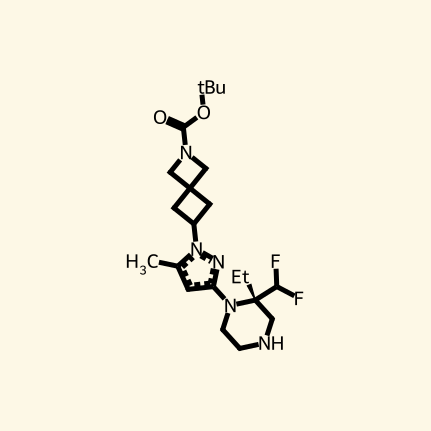 CC[C@@]1(C(F)F)CNCCN1c1cc(C)n(C2CC3(C2)CN(C(=O)OC(C)(C)C)C3)n1